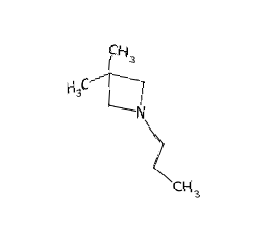 CCCN1CC(C)(C)C1